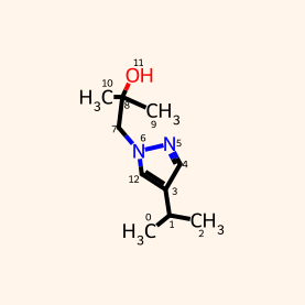 CC(C)c1cnn(CC(C)(C)O)c1